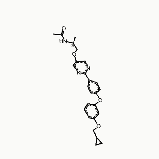 CC(=O)N[C@@H](C)COc1cnc(-c2ccc(Oc3cccc(OCC4CC4)c3)cc2)nc1